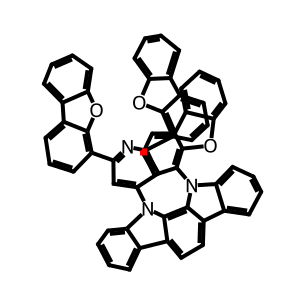 c1ccc2c(c1)oc1c(-c3cc(-n4c5ccccc5c5ccc6c7ccccc7n(-c7cccc8c7oc7ccccc78)c6c54)cc(-c4cccc5c4oc4ccccc45)n3)cccc12